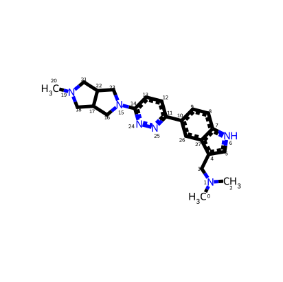 CN(C)Cc1c[nH]c2ccc(-c3ccc(N4CC5CN(C)CC5C4)nn3)cc12